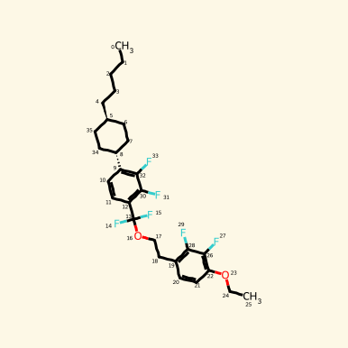 CCCCC[C@H]1CC[C@H](c2ccc(C(F)(F)OCCc3ccc(OCC)c(F)c3F)c(F)c2F)CC1